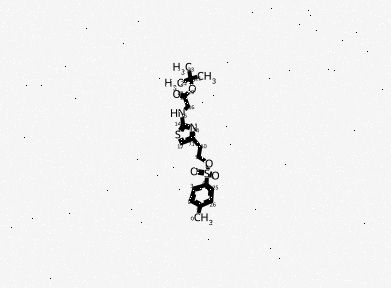 Cc1ccc(S(=O)(=O)OCCc2csc(NCC(=O)OC(C)(C)C)n2)cc1